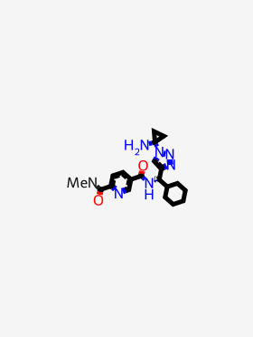 CNC(=O)c1ccc(C(=O)N[C@H](c2cn(C3(N)CC3)nn2)C2CCCCC2)cn1